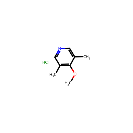 COc1c(C)cncc1C.Cl